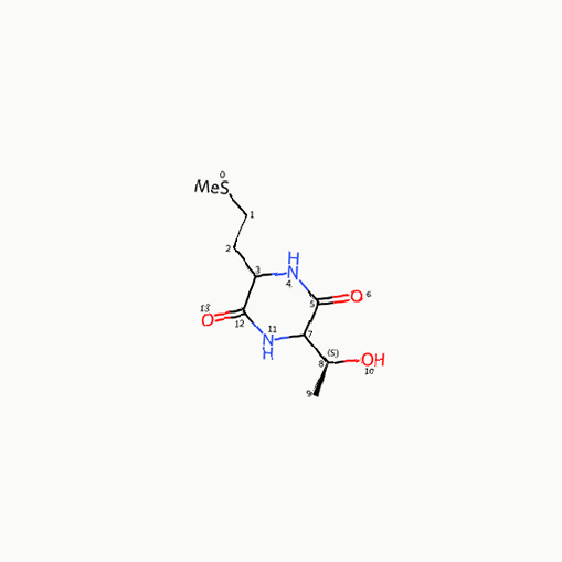 CSCCC1NC(=O)C([C@H](C)O)NC1=O